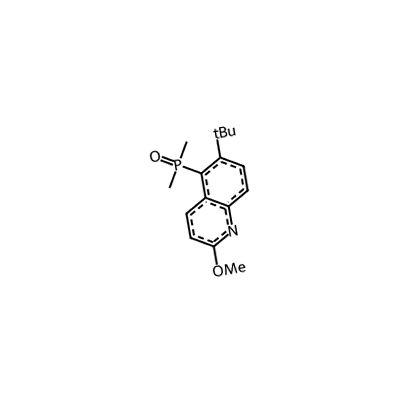 COc1ccc2c(P(C)(C)=O)c(C(C)(C)C)ccc2n1